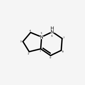 [C]1=C2CCCN2NCC1